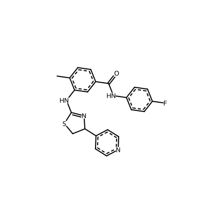 Cc1ccc(C(=O)Nc2ccc(F)cc2)cc1NC1=NC(c2ccncc2)CS1